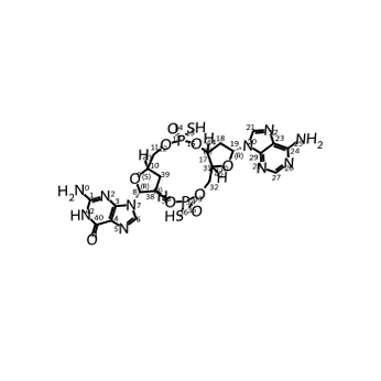 Nc1nc2c(ncn2[C@@H]2O[C@@H]3COP(=O)(S)O[C@@H]4C[C@H](n5cnc6c(N)ncnc65)O[C@@H]4COP(=O)(S)O[C@@H]2C3)c(=O)[nH]1